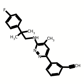 C#Cc1cccc(-c2cc(C)c(NCC(C)(C)c3ccc(F)cc3)nn2)c1